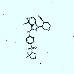 CC1(C)CCCN1S(=O)(=O)c1ccc(Nc2nn(C3COCCC3C#N)c3cc[nH]c(=O)c23)cc1